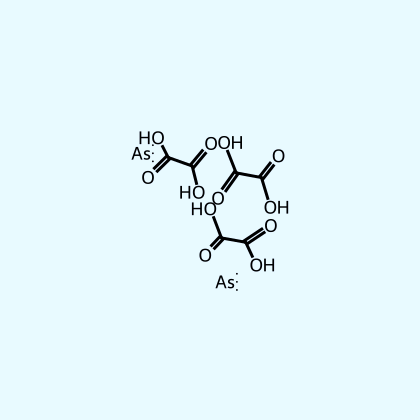 O=C(O)C(=O)O.O=C(O)C(=O)O.O=C(O)C(=O)O.[As].[As]